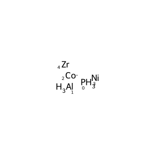 P.[AlH3].[Co].[Ni].[Zr]